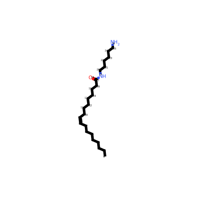 CCCCCCCC/C=C\CCCCCCCC(=O)NCCCCCCN